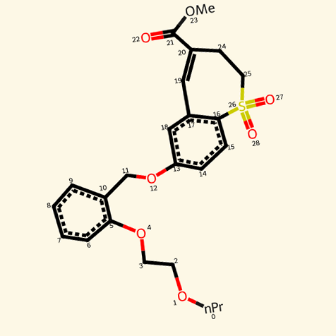 CCCOCCOc1ccccc1COc1ccc2c(c1)C=C(C(=O)OC)CCS2(=O)=O